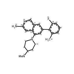 CNC1CCN(c2cc(-c3c(C)cccc3F)cc3cnc(N)cc23)CC1